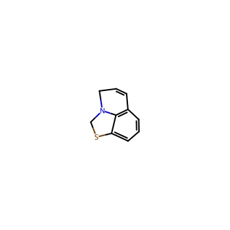 C1=Cc2cccc3c2N(C1)CS3